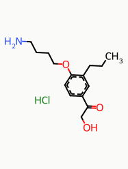 CCCc1cc(C(=O)CO)ccc1OCCCCN.Cl